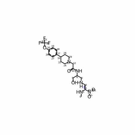 CN/C(=C\NCC(CO)NC(=O)CN1CCC(c2ccc(OC(F)(F)F)cc2)CC1)[N+](=O)[O-]